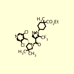 CCOC(=O)C1(C)CCC(n2ncc(C(=O)N3CC(C)(C)C[C@@H]3Cc3c(Cl)cncc3Cl)c2C(F)(F)F)CC1